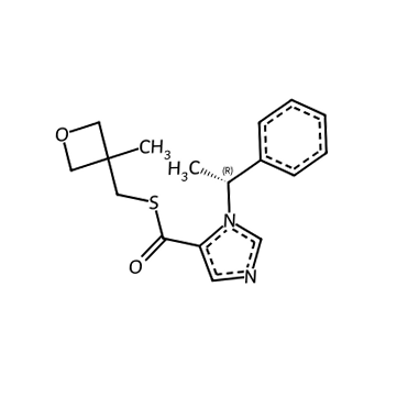 C[C@H](c1ccccc1)n1cncc1C(=O)SCC1(C)COC1